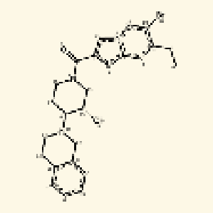 CCc1nc2nc(C(=O)N3CC[C@H](N4CCc5ccccc5C4)[C@@H](O)C3)cn2cc1Br